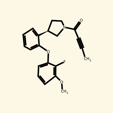 CC#CC(=O)N1CC[C@H](c2c[c]ccc2Oc2cccc(OC)c2F)C1